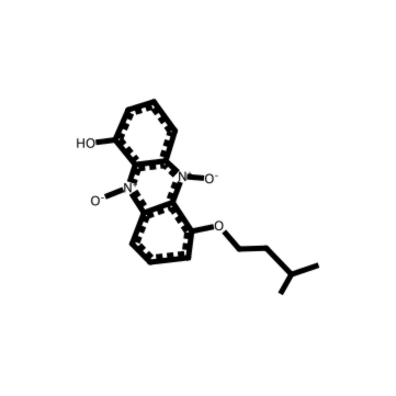 CC(C)CCOc1cccc2c1[n+]([O-])c1cccc(O)c1[n+]2[O-]